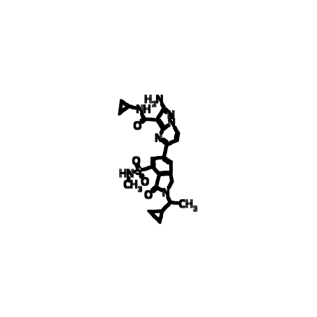 CNS(=O)(=O)c1cc(-c2ccn3nc(N)c(C(=O)NC4CC4)c3n2)cc2c1C(=O)N(C(C)C1CC1)C2